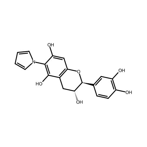 Oc1ccc([C@@H]2Oc3cc(O)c(-n4cccc4)c(O)c3C[C@H]2O)cc1O